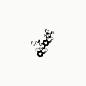 CCc1nn(-c2cc(O[C@@H](C)C(F)(F)F)c(C(=O)Nc3c(F)cccc3F)cc2F)c(=O)n1CC